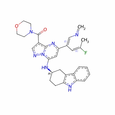 C=N/C=C(\C=C(/C)F)c1cc(N[C@@H]2CCc3[nH]c4ccccc4c3C2)n2ncc(C(=O)N3CCOCC3)c2n1